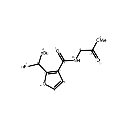 CCCCC(CCC)c1occc1C(=O)NCC(=O)OC